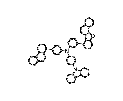 c1cc(-c2cccc3oc4c5ccccc5ccc4c23)cc(N(c2ccc(-c3cccc4c3ccc3ccccc34)cc2)c2ccc(-n3c4ccccc4c4ccccc43)cc2)c1